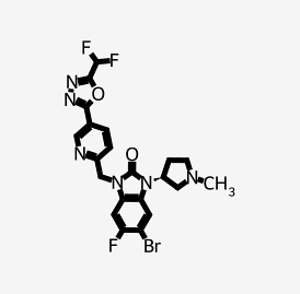 CN1CC[C@@H](n2c(=O)n(Cc3ccc(-c4nnc(C(F)F)o4)cn3)c3cc(F)c(Br)cc32)C1